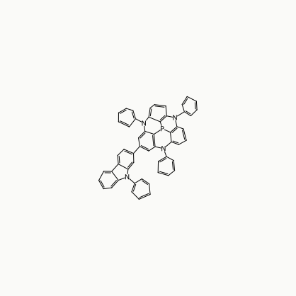 c1ccc(N2c3cccc4c3P3c5c2cccc5N(c2ccccc2)c2cc(-c5ccc6c7ccccc7n(-c7ccccc7)c6c5)cc(c23)N4c2ccccc2)cc1